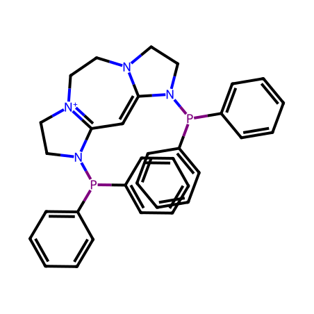 C1=C2N(CCN2P(c2ccccc2)c2ccccc2)CC[N+]2=C1N(P(c1ccccc1)c1ccccc1)CC2